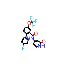 O=C(Nc1cc[nH]c(=O)c1)c1cc(OC(F)(F)F)ccc1-c1ccc(F)cc1